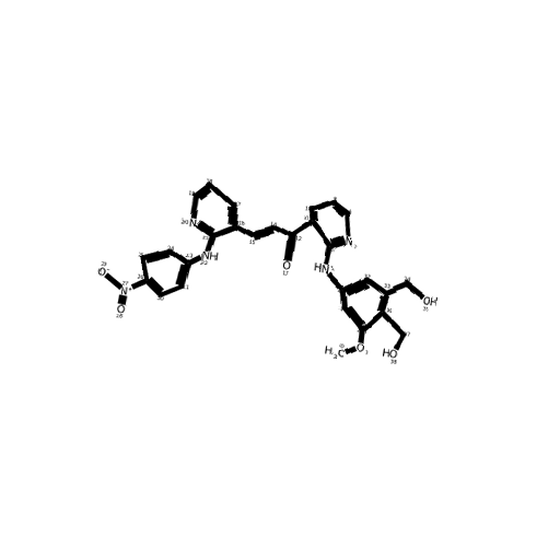 COc1cc(Nc2ncccc2C(=O)/C=C/c2cccnc2Nc2ccc([N+](=O)[O-])cc2)cc(CO)c1CO